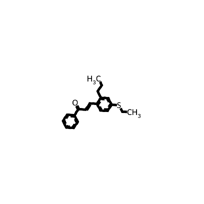 CCCc1cc(SCC)ccc1C=CC(=O)c1ccccc1